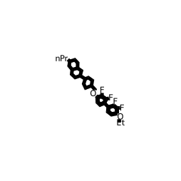 CCCC1CCC2CC(C3CCC(COc4ccc(-c5ccc(OCC)c(F)c5F)c(F)c4F)CC3)CCC2C1